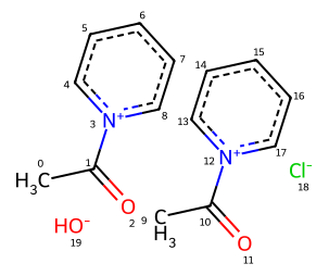 CC(=O)[n+]1ccccc1.CC(=O)[n+]1ccccc1.[Cl-].[OH-]